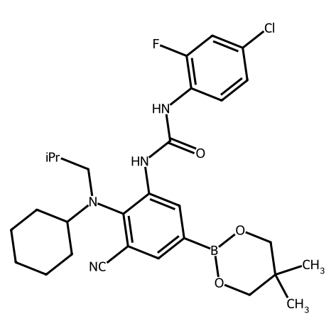 CC(C)CN(c1c(C#N)cc(B2OCC(C)(C)CO2)cc1NC(=O)Nc1ccc(Cl)cc1F)C1CCCCC1